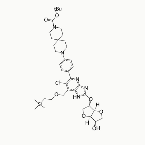 CC(C)(C)OC(=O)N1CCC2(CC1)CCN(c1ccc(-c3nc4nc(O[C@@H]5CO[C@H]6[C@@H]5OC[C@H]6O)[nH]c4c(COCC[Si](C)(C)C)c3Cl)cc1)CC2